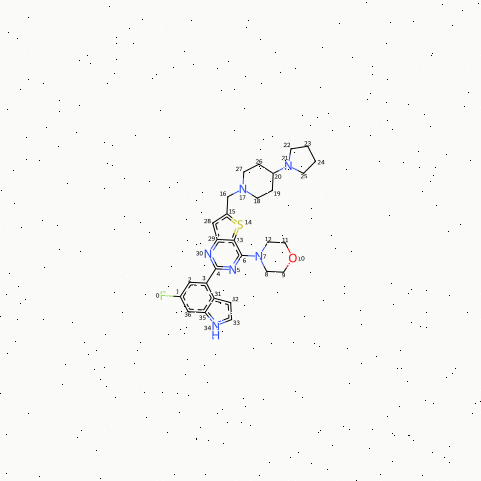 Fc1cc(-c2nc(N3CCOCC3)c3sc(CN4CCC(N5CCCC5)CC4)cc3n2)c2cc[nH]c2c1